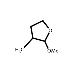 COC1OCCC1C